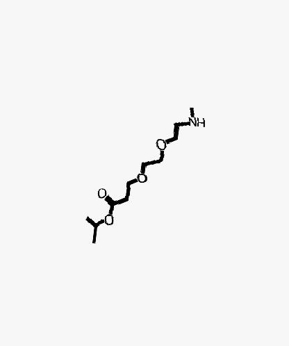 CNCCOCCOCCC(=O)OC(C)C